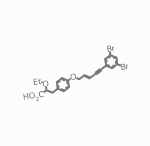 CCOC(Cc1ccc(OCC=CC#Cc2cc(Br)cc(Br)c2)cc1)C(=O)O